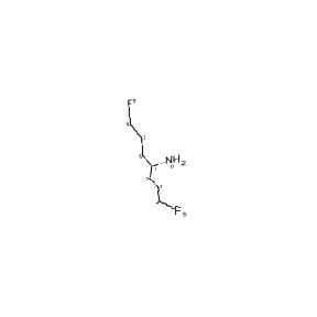 NC(CCCF)CCCF